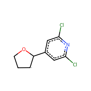 Clc1cc(C2[CH]CCO2)cc(Cl)n1